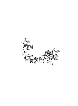 Cc1c(C(=O)NCc2cnc(-c3ccc(CCCN4CCC[C@H]4C#N)cc3)s2)ccc2c1NC(=O)c1ccccc1S2(=O)=O